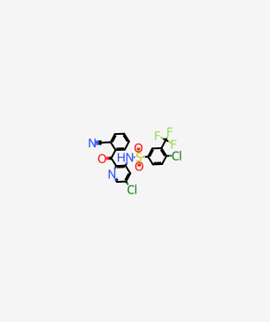 N#Cc1ccccc1C(=O)c1ncc(Cl)cc1NS(=O)(=O)c1ccc(Cl)c(C(F)(F)F)c1